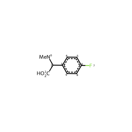 CNC(C(=O)O)c1ccc(F)cc1